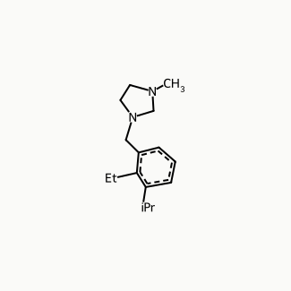 CCc1c(CN2CCN(C)C2)cccc1C(C)C